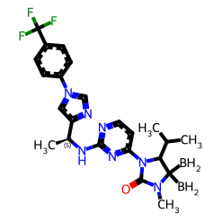 BC1(B)C(C(C)C)N(c2ccnc(N[C@@H](C)c3cn(-c4ccc(C(F)(F)F)cc4)cn3)n2)C(=O)N1C